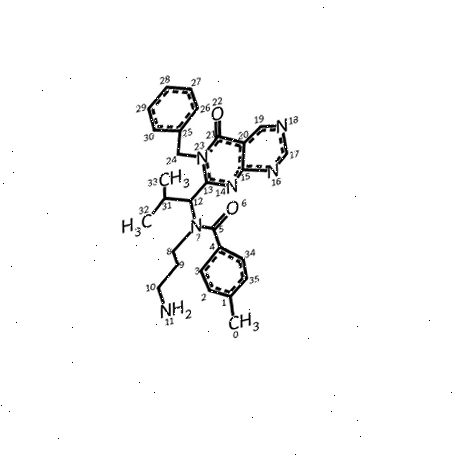 Cc1ccc(C(=O)N(CCCN)C(c2nc3ncncc3c(=O)n2Cc2ccccc2)C(C)C)cc1